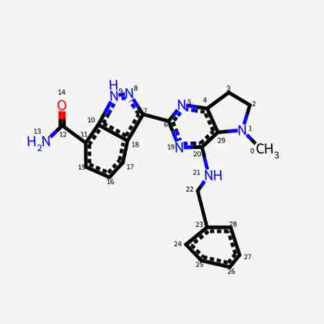 CN1CCc2nc(-c3n[nH]c4c(C(N)=O)cccc34)nc(NCc3ccccc3)c21